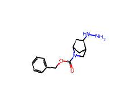 NNC1CC2CC1CN2C(=O)OCc1ccccc1